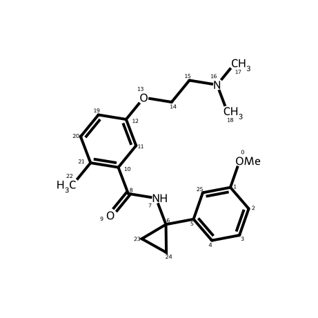 COc1cccc(C2(NC(=O)c3cc(OCCN(C)C)ccc3C)CC2)c1